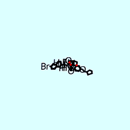 NC1CC2CCC(C1)N2C(=O)[C@H](NS(=O)(=O)c1ccc(OCC2CCCC2)cc1)C(F)(F)c1ccc2cc(Br)ccc2c1